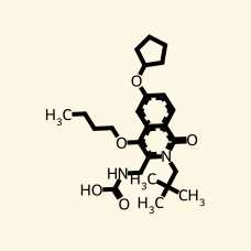 CCCCOc1c(CNC(=O)O)n(CC(C)(C)C)c(=O)c2ccc(OC3CCCC3)cc12